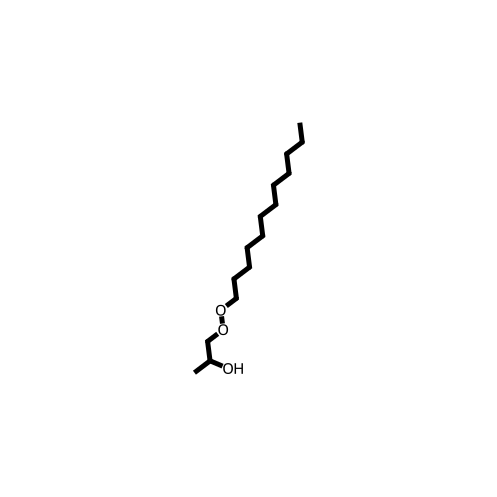 CCCCCCCCCCCCOOCC(C)O